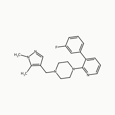 Cc1c(CN2CCN(c3ncccc3-c3cccc(F)c3)CC2)cnn1C